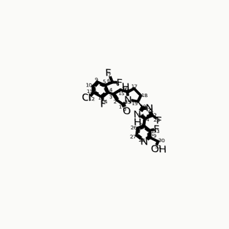 O=C1C=C(c2c(C(F)F)ccc(Cl)c2F)C[C@H]2CC[C@@H](c3nc(F)c(-c4ccnc(CO)c4F)[nH]3)N12